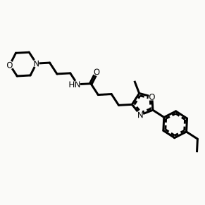 CCc1ccc(-c2nc(CCCC(=O)NCCCN3CCOCC3)c(C)o2)cc1